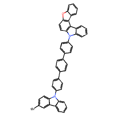 CC(C)(C)c1ccc2c(c1)c1ccccc1n2-c1ccc(-c2ccc(-c3ccc(-n4c5ccccc5c5c6c(ccc54)oc4ccccc46)cc3)cc2)cc1